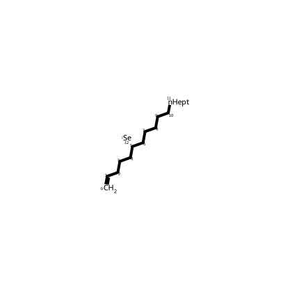 C=CCCCCCCCCCCCCCCCC.[Se]